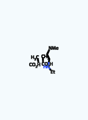 CC(=O)O.CC(=O)O.CCNCCNC